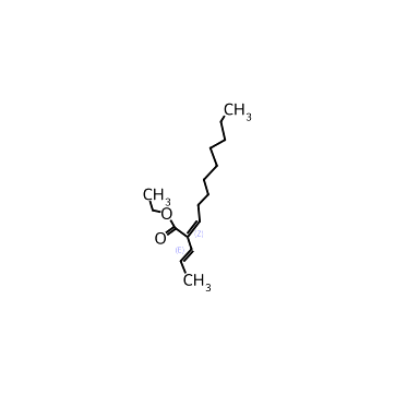 C/C=C/C(=C/CCCCCCCC)C(=O)OCC